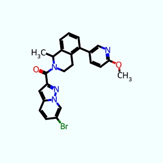 COc1ccc(-c2cccc3c2CCN(C(=O)c2cc4ccc(Br)cn4n2)C3C)cn1